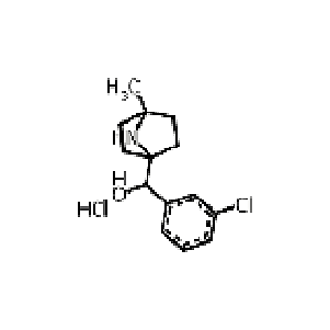 CC12CCC(C(O)c3cccc(Cl)c3)(CC1)N2.Cl